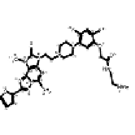 CNCCNC(=O)COc1cc(N2CCN(CCn3c(=O)n(C)c4c3nc(N)n3nc(-c5ccco5)nc43)CC2)c(F)cc1F